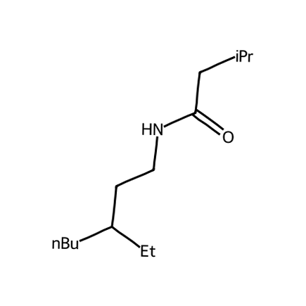 CCCCC(CC)CCNC(=O)CC(C)C